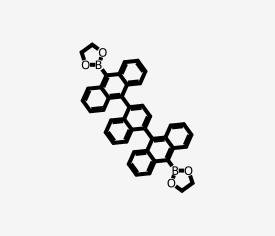 c1ccc2c(-c3c4ccccc4c(B4OCCO4)c4ccccc34)ccc(-c3c4ccccc4c(B4OCCO4)c4ccccc34)c2c1